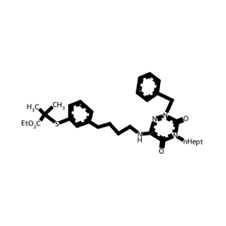 CCCCCCCn1c(=O)c(NCCCCc2cccc(SC(C)(C)C(=O)OCC)c2)nn(Cc2ccccc2)c1=O